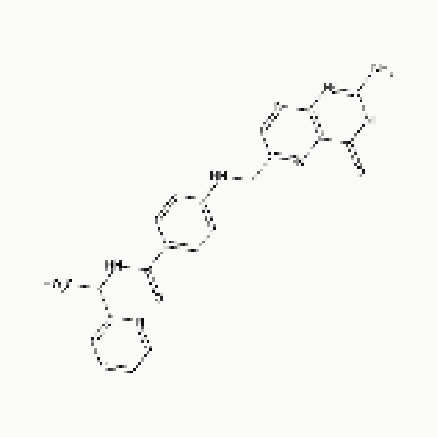 Nc1nc2ncc(CNc3ccc(C(=O)NC(C(=O)O)c4ccccn4)cc3)nc2c(=O)[nH]1